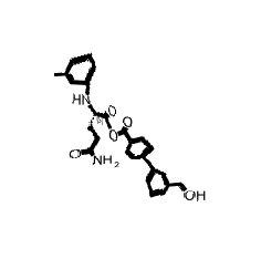 Cc1cccc(CN[C@@H](CCC(N)=O)C(=O)OC(=O)c2ccc(-c3cccc(CO)c3)cc2)c1